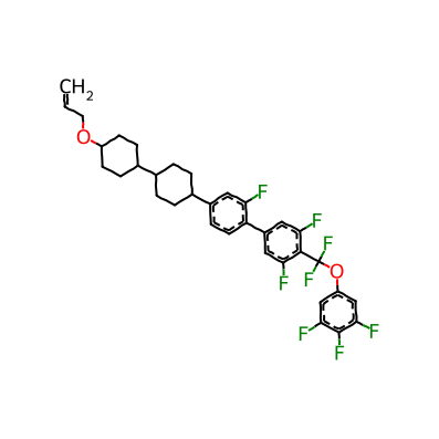 C=CCOC1CCC(C2CCC(c3ccc(-c4cc(F)c(C(F)(F)Oc5cc(F)c(F)c(F)c5)c(F)c4)c(F)c3)CC2)CC1